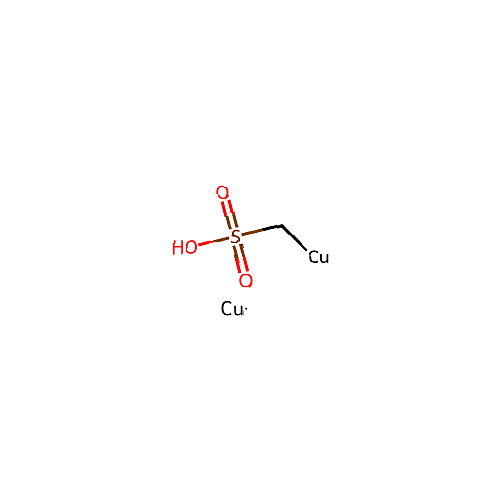 O=S(=O)(O)[CH2][Cu].[Cu]